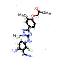 COC(=O)COc1ccc(-c2nc(Nc3ccc(N)c(C=N)c3Cl)n(C)n2)cc1OC